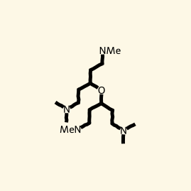 CNCCC(CCN(C)C)OC(CCNC)CCN(C)C